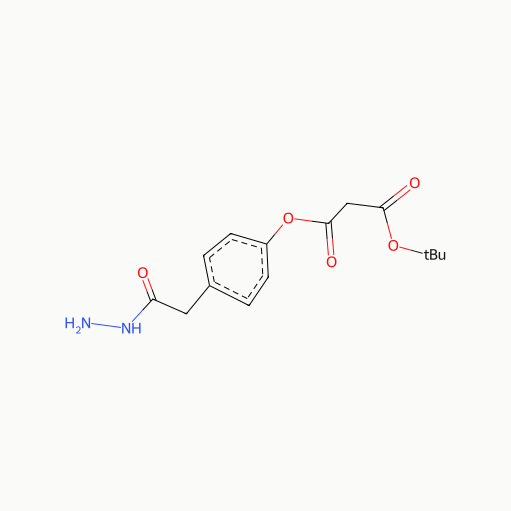 CC(C)(C)OC(=O)CC(=O)Oc1ccc(CC(=O)NN)cc1